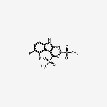 CS(=O)(=O)c1nc(S(C)(=O)=O)c2c(n1)[nH]c1[c]cc(F)c(F)c12